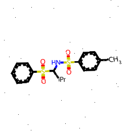 Cc1ccc(S(=O)(=O)NC(C(C)C)S(=O)(=O)c2ccccc2)cc1